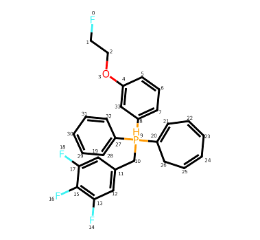 FCCOc1cccc([PH](Cc2cc(F)c(F)c(F)c2)(C2=CC=CC=CC2)c2ccccc2)c1